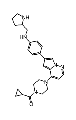 O=C(C1CC1)N1CCN(c2ccnn3cc(-c4ccc(NCC5CCCN5)cc4)cc23)CC1